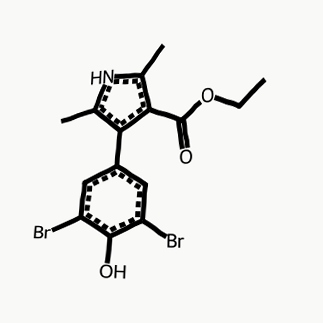 CCOC(=O)c1c(C)[nH]c(C)c1-c1cc(Br)c(O)c(Br)c1